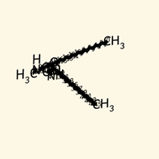 CCCCCCCCC=CCCCCCCCCOC(COCCNC)C(OCCCCCCCCC=CCCCCCCCC)C(N)=O